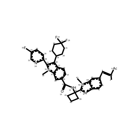 CC(=O)/C(C)=C/c1ccc2nc(C3(NC(=O)c4ccc5c(C6CCC(F)(F)CC6)c(-c6ccc(F)cn6)n(C)c5c4)CCC3)n(C)c2c1